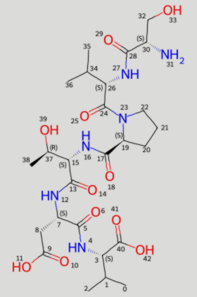 CC(C)[C@H](NC(=O)[C@H](CC(=O)O)NC(=O)[C@@H](NC(=O)[C@@H]1CCCN1C(=O)[C@@H](NC(=O)[C@@H](N)CO)C(C)C)[C@@H](C)O)C(=O)O